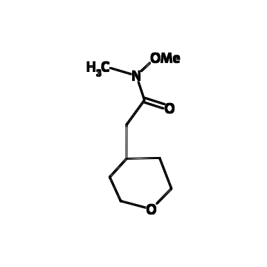 CON(C)C(=O)CC1CCOCC1